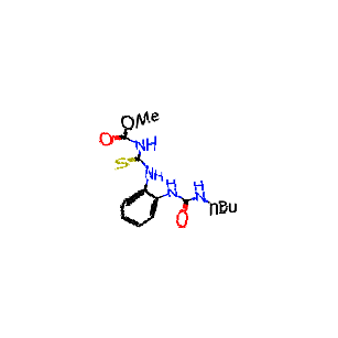 CCCCNC(=O)Nc1ccccc1NC(=S)NC(=O)OC